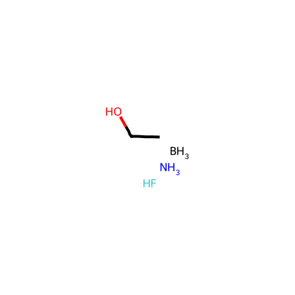 B.CCO.F.N